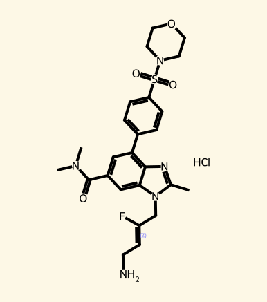 Cc1nc2c(-c3ccc(S(=O)(=O)N4CCOCC4)cc3)cc(C(=O)N(C)C)cc2n1C/C(F)=C/CN.Cl